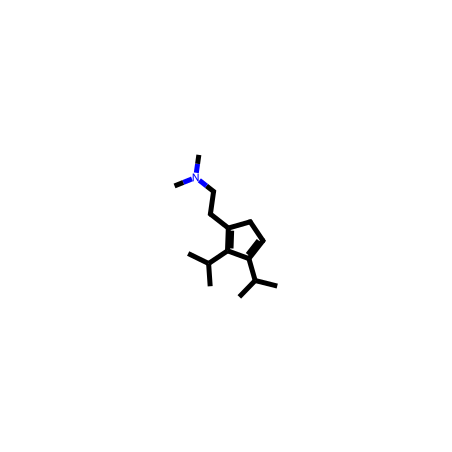 CC(C)C1=CCC(CCN(C)C)=C1C(C)C